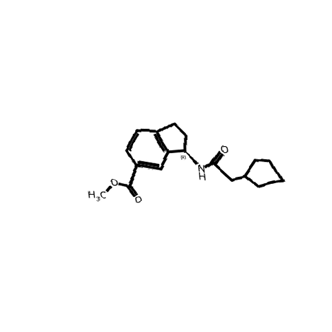 COC(=O)c1ccc2c(c1)[C@H](NC(=O)CC1CCCC1)CC2